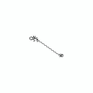 CO[Si](C)(C)CCCCCCCCCCCCCCCCCCSSc1nc2ccccc2s1